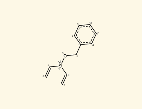 C=C[SiH](C=C)OCc1ccccc1